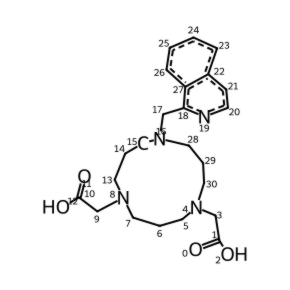 O=C(O)CN1CCCN(CC(=O)O)CCCN(Cc2nccc3ccccc23)CCC1